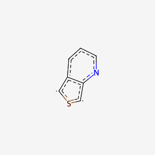 [c]1s[c]c2ncccc12